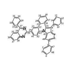 c1ccc(-c2ccc3c(-c4ccccc4)c4c5ccccc5c5cc(-c6nc(-c7ccccc7)c7ccccc7n6)ccc5n4c3c2)cc1